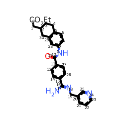 CCOC(=O)CC1CCc2ccc(NC(=O)c3ccc(C(N)=NCc4cccnc4)cc3)cc2C1